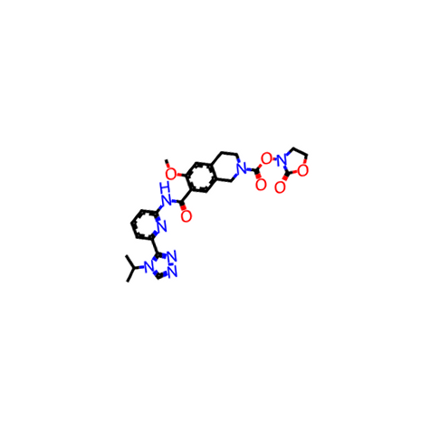 COc1cc2c(cc1C(=O)Nc1cccc(-c3nncn3C(C)C)n1)CN(C(=O)ON1CCOC1=O)CC2